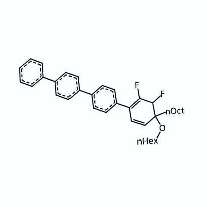 CCCCCCCCC1(OCCCCCC)C=CC(c2ccc(-c3ccc(-c4ccccc4)cc3)cc2)=C(F)C1F